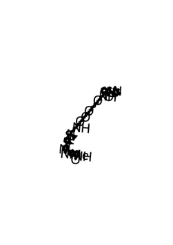 C=C1CCC(N2C(=C)C3CCCC(NCCOCCCCCOCCOCCOCCNCCCN(Sc4ccc(-c5cnc(NC)c(-c6ccc7c(c6)CCNC7=O)c5)c(F)c4)C4CC4)=C3C2=O)C(=C)N1C